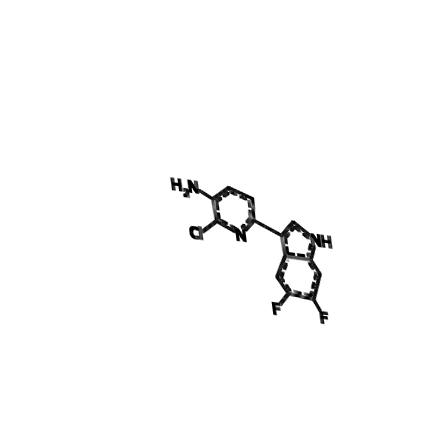 Nc1ccc(-c2c[nH]c3cc(F)c(F)cc23)nc1Cl